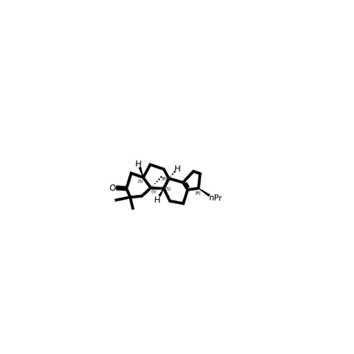 CCC[C@@H]1CCC2=C1CC[C@H]1[C@H]2CC[C@H]2CC(=O)C(C)(C)C[C@@]21C